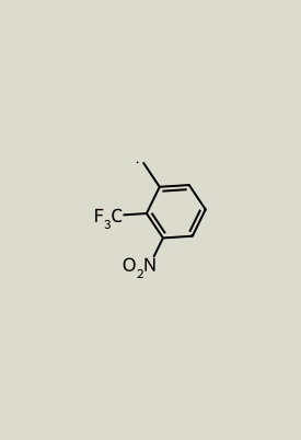 [CH2]c1cccc([N+](=O)[O-])c1C(F)(F)F